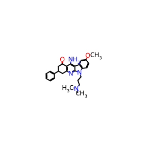 COc1ccc2c(c1)c1c(N)c3c(nc1n2CCCN(C)C)CC(c1ccccc1)CC3=O